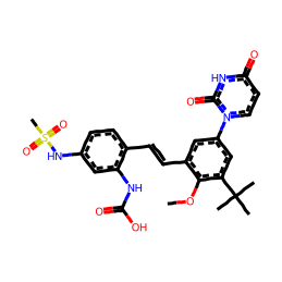 COc1c(C=Cc2ccc(NS(C)(=O)=O)cc2NC(=O)O)cc(-n2ccc(=O)[nH]c2=O)cc1C(C)(C)C